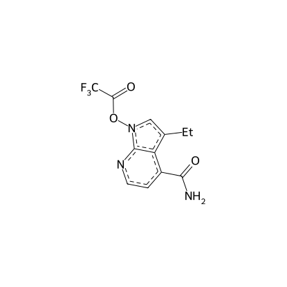 CCc1cn(OC(=O)C(F)(F)F)c2nccc(C(N)=O)c12